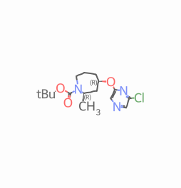 C[C@@H]1C[C@H](Oc2cncc(Cl)n2)CCCN1C(=O)OC(C)(C)C